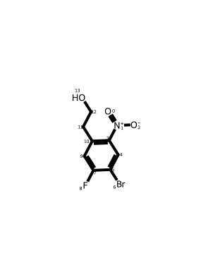 O=[N+]([O-])c1cc(Br)c(F)cc1CCO